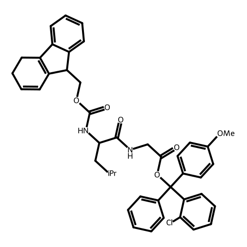 COc1ccc(C(OC(=O)CNC(=O)C(CC(C)C)NC(=O)OCC2C3=C(CCC=C3)c3ccccc32)(c2ccccc2)c2ccccc2Cl)cc1